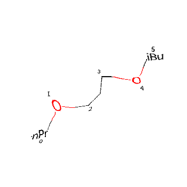 CC[CH]OCCOC(C)CC